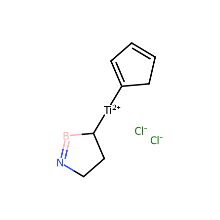 B1=NCC[CH]1[Ti+2][C]1=CC=CC1.[Cl-].[Cl-]